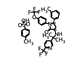 Cc1ccc(S(=O)(=O)O)cc1.Cc1cccc([C@H]2C[C@@H](NC(C)(C)c3ccc(C(F)(F)F)nc3)C(=O)N2c2ccc(OC(F)(F)F)cc2)c1